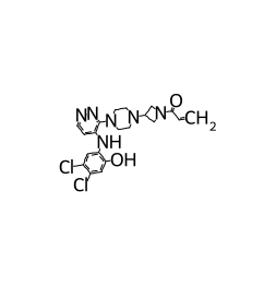 C=CC(=O)N1CC(N2CCN(c3nnccc3Nc3cc(Cl)c(Cl)cc3O)CC2)C1